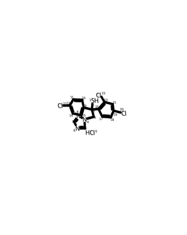 Cl.SC(Cn1cncn1)(c1ccc(Cl)cc1)c1ccc(Cl)cc1Cl